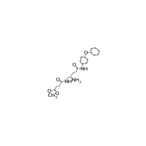 COC(=O)CCC(=O)NC[C@H](N)CCC(=O)Nc1ccc(Oc2ccccc2)cc1